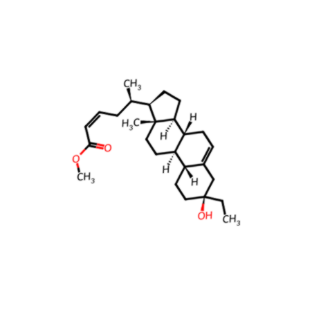 CC[C@]1(O)CC[C@H]2C(=CC[C@@H]3[C@@H]2CC[C@]2(C)[C@@H]([C@H](C)C/C=C\C(=O)OC)CC[C@@H]32)C1